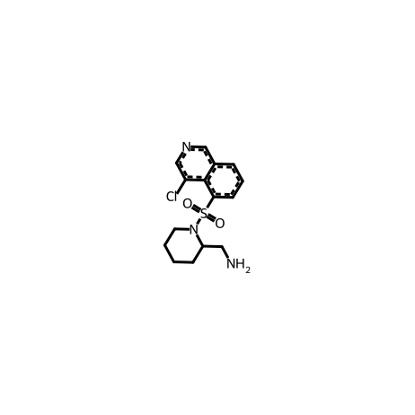 NCC1CCCCN1S(=O)(=O)c1cccc2cncc(Cl)c12